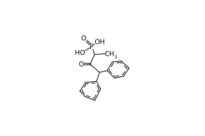 CC(C(=O)C(c1ccccc1)c1ccccc1)P(=O)(O)O